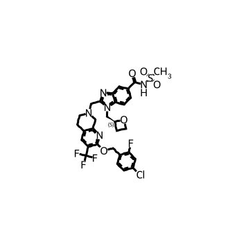 CS(=O)(=O)NC(=O)c1ccc2c(c1)nc(CN1CCc3cc(C(F)(F)F)c(OCc4ccc(Cl)cc4F)nc3C1)n2C[C@@H]1CCO1